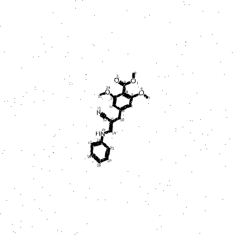 COC(=O)c1c(OC)cc(C/C(C#N)=C/Nc2ccccc2)cc1OC